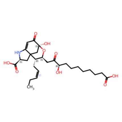 CC/C=C\C[C@H]1[C@H](CC(=O)[C@H](O)CCCCCCCC(=O)O)O[C@@]2(O)CC13C[C@@H](C(=O)O)NC3=CC2=O